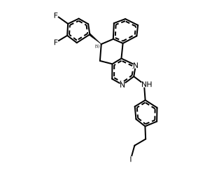 Fc1ccc([C@@H]2Cc3cnc(Nc4ccc(CCI)cc4)nc3-c3ccccc32)cc1F